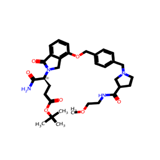 COCCNC(=O)C1CCN(Cc2ccc(COc3cccc4c3CN([C@@H](CCC(=O)OC(C)(C)C)C(N)=O)C4=O)cc2)C1